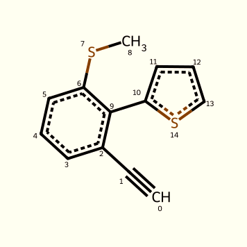 C#Cc1cccc(SC)c1-c1cccs1